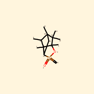 C=S1(=O)OC2(C)C3(C)C(C)C(C)(CC31)C2(C)C